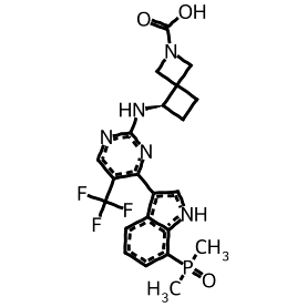 CP(C)(=O)c1cccc2c(-c3nc(N[C@@H]4CCC45CN(C(=O)O)C5)ncc3C(F)(F)F)c[nH]c12